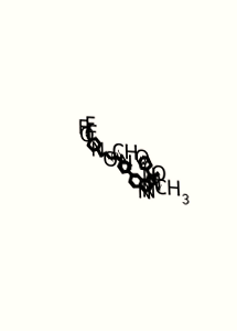 C[C@@H](OCCN1CCC(OC(F)(F)F)CC1)c1ccc(-c2ccc3nnc4c(c3c2)n(C2CCOCC2)c(=O)n4C)cn1